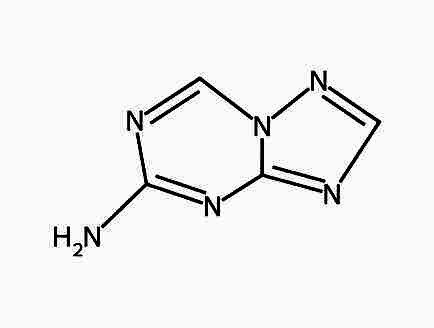 Nc1ncn2ncnc2n1